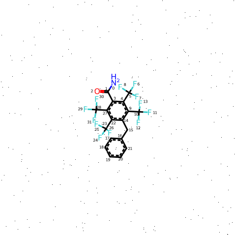 NC(=O)c1c(C(F)(F)F)c(C(F)(F)F)c(Cc2ccccc2)c(C(F)(F)F)c1C(F)(F)F